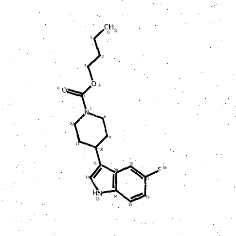 CCCCOC(=O)N1CCC(c2c[nH]c3ccc(F)cc23)CC1